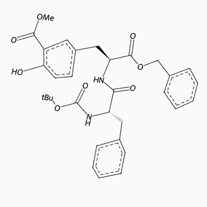 COC(=O)c1cc(C[C@H](NC(=O)[C@H](Cc2ccccc2)NC(=O)OC(C)(C)C)C(=O)OCc2ccccc2)ccc1O